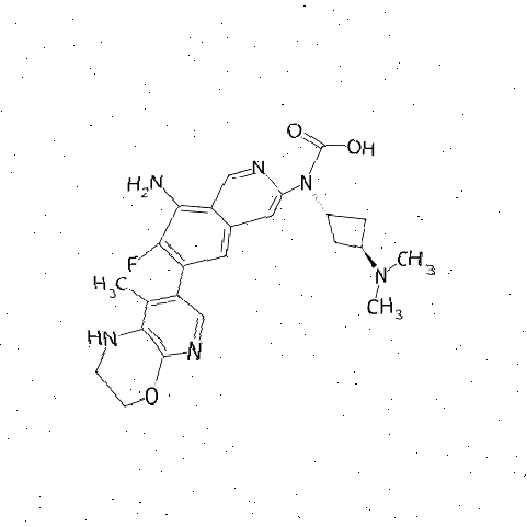 Cc1c(-c2cc3cc(N(C(=O)O)[C@H]4C[C@H](N(C)C)C4)ncc3c(N)c2F)cnc2c1NCCO2